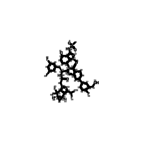 Cn1nc(NS(C)(=O)=O)c2c(Cl)ccc(-n3c([C@H](Cc4cc(F)cc(F)c4)NC(=O)Cn4nc(C(F)F)c5c4C(F)(F)[C@@H]4C[C@H]54)nc4cc(-c5ccc(F)c(CO)c5)ccc4c3=O)c21